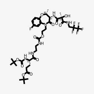 C[C@H]1Oc2ccc(F)cc2N(CCOC(=O)NCCNC(=O)[C@H](CCC(=O)OC(C)(C)C)NC(=O)OC(C)(C)C)C(=O)[C@H]1NC(=O)[C@@](C)(O)C(=O)NCC(F)(F)C(F)(F)F